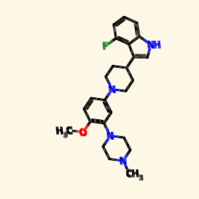 COc1ccc(N2CCC(c3c[nH]c4cccc(F)c34)CC2)cc1N1CCN(C)CC1